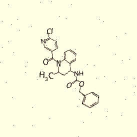 CC1CC(NC(=O)OCc2ccccc2)c2ccccc2N1C(=O)c1ccc(Cl)nc1